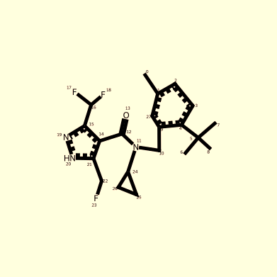 Cc1ccc(C(C)(C)C)c(CN(C(=O)c2c(C(F)F)n[nH]c2CF)C2CC2)c1